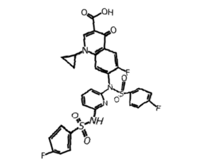 O=C(O)c1cn(C2CC2)c2cc(N(c3cccc(NS(=O)(=O)c4ccc(F)cc4)n3)S(=O)(=O)c3ccc(F)cc3)c(F)cc2c1=O